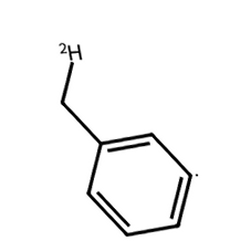 [2H]Cc1c[c]ccc1